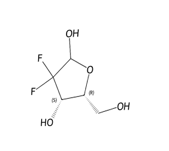 OC[C@H]1OC(O)C(F)(F)[C@H]1O